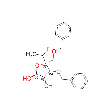 CC(F)[C@]1(COCc2ccccc2)O[C@H](O)[C@H](O)[C@@H]1OCc1ccccc1